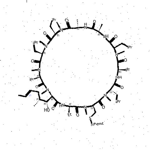 C/C=C/C[C@@H](C)[C@@H](O)[C@@H]1C(=O)N[C@H](CC)C(=O)N(C)[C@H](CSCCCCC)C(=O)N(C)[C@@H](CC(C)C)C(=O)N[C@H](C(C)C)C(=O)N(C)C(CC(C)C)C(=O)N[C@H](C)C(=O)N[C@@H](C)C(=O)N(C)[C@H](CC(C)C)C(=O)N(C)[C@H](CC(C)C)C(=O)N(C)[C@H](C(C)C)C(=O)N1C